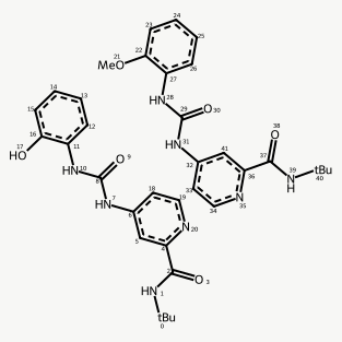 CC(C)(C)NC(=O)c1cc(NC(=O)Nc2ccccc2O)ccn1.COc1ccccc1NC(=O)Nc1ccnc(C(=O)NC(C)(C)C)c1